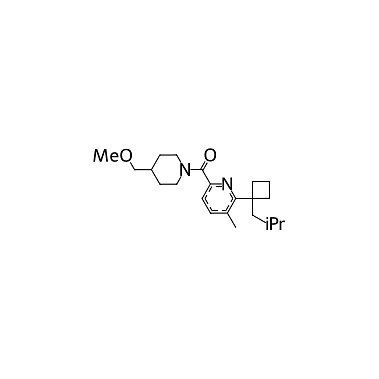 COCC1CCN(C(=O)c2ccc(C)c(C3(CC(C)C)CCC3)n2)CC1